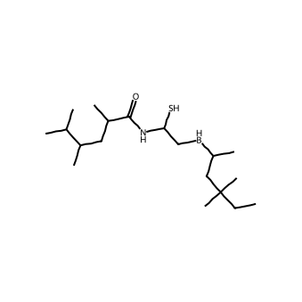 CCC(C)(C)CC(C)BCC(S)NC(=O)C(C)CC(C)C(C)C